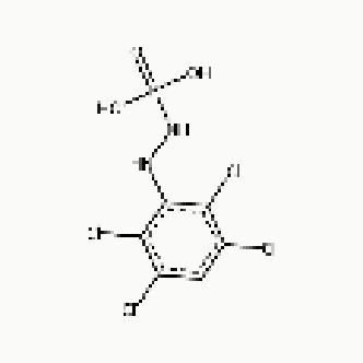 O=P(O)(O)NNc1c(Cl)c(Cl)cc(Cl)c1Cl